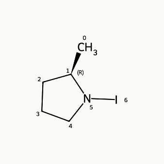 C[C@@H]1CCCN1I